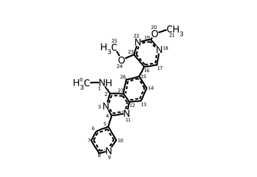 CNc1nc(-c2cccnc2)nc2ccc(-c3cnc(OC)nc3OC)cc12